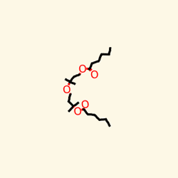 CCCCCC(=O)OCCC(C)(C)OCCC(C)(C)OC(=O)CCCCC